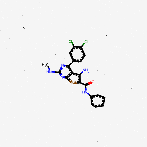 CNc1nc(-c2ccc(Cl)c(Cl)c2)c2c(N)c(C(=O)Nc3ccccc3)sc2n1